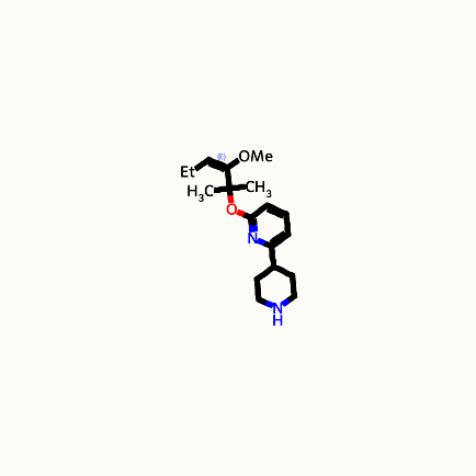 CC/C=C(/OC)C(C)(C)Oc1cccc(C2CCNCC2)n1